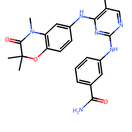 Cc1cnc(Nc2cccc(C(N)=O)c2)nc1Nc1ccc2c(c1)N(C)C(=O)C(C)(C)O2